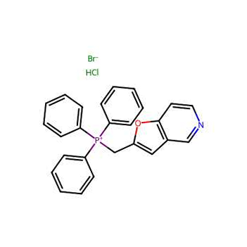 Cl.[Br-].c1ccc([P+](Cc2cc3cnccc3o2)(c2ccccc2)c2ccccc2)cc1